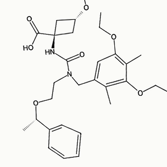 CCOc1cc(CN(CCO[C@@H](C)c2ccccc2)C(=O)N[C@]2(C(=O)O)C[C@@H](OC)C2)c(C)c(OCC)c1C